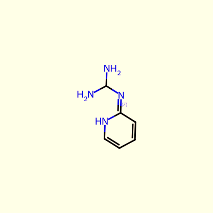 NC(N)/N=c1/cccc[nH]1